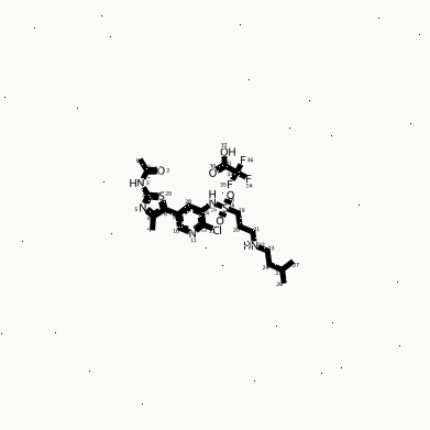 CC(=O)Nc1nc(C)c(-c2cnc(Cl)c(NS(=O)(=O)CCCNCCC(C)C)c2)s1.O=C(O)C(F)(F)F